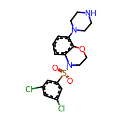 O=S(=O)(c1cc(Cl)cc(Cl)c1)N1CCOc2c(N3CCNCC3)cccc21